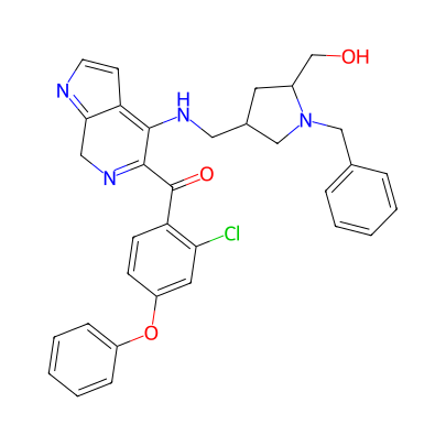 O=C(C1=NCC2=NC=CC2=C1NCC1CC(CO)N(Cc2ccccc2)C1)c1ccc(Oc2ccccc2)cc1Cl